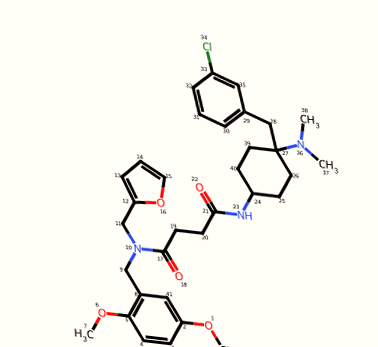 COc1ccc(OC)c(CN(Cc2ccco2)C(=O)CCC(=O)NC2CCC(Cc3cccc(Cl)c3)(N(C)C)CC2)c1